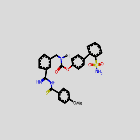 CCN(Cc1cccc(C(=N)NC(=S)c2ccc(OC)cc2)c1)C(=O)Oc1ccc(-c2ccccc2S(N)(=O)=O)cc1